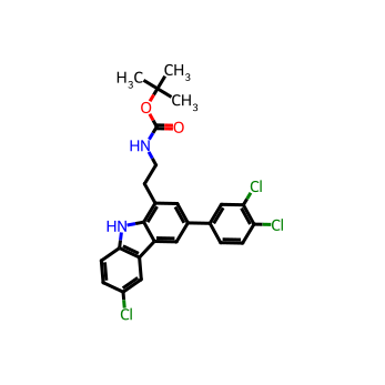 CC(C)(C)OC(=O)NCCc1cc(-c2ccc(Cl)c(Cl)c2)cc2c1[nH]c1ccc(Cl)cc12